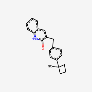 N#CC1(c2ccc(Cc3cc4ccccc4[nH]c3=O)cc2)CCC1